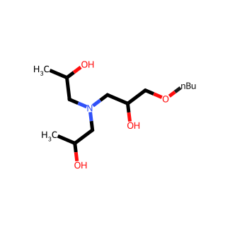 CCCCOCC(O)CN(CC(C)O)CC(C)O